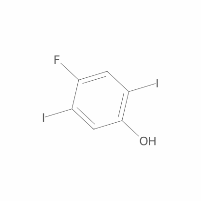 Oc1cc(I)c(F)cc1I